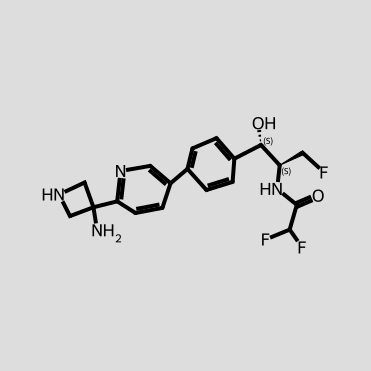 NC1(c2ccc(-c3ccc([C@H](O)[C@@H](CF)NC(=O)C(F)F)cc3)cn2)CNC1